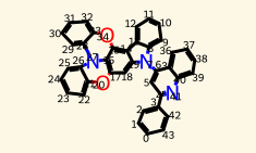 c1ccc(-c2cc(-n3c4ccccc4c4c5c6c(cc43)Oc3ccccc3N6c3ccccc3O5)c3ccccc3n2)cc1